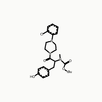 CN(C(=O)OC(C)(C)C)C(Cc1ccc(O)cc1)C(=O)N1CCN(c2ccccc2Cl)CC1